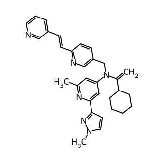 C=C(C1CCCCC1)N(Cc1ccc(/C=C/c2cccnc2)nc1)c1cc(C)nc(-c2ccn(C)n2)c1